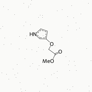 COC(=O)COc1cc[nH]c1